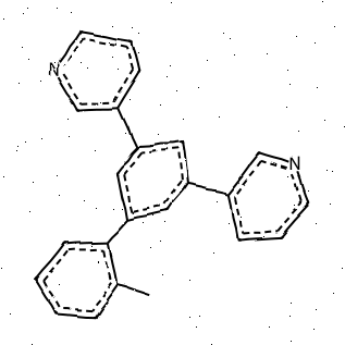 Cc1ccccc1-c1cc(-c2cccnc2)cc(-c2cccnc2)c1